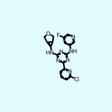 Fc1cncc(Nc2nc(NC3=C4COCC43)nc(-c3cccc(Cl)n3)n2)c1